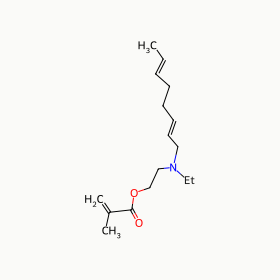 C=C(C)C(=O)OCCN(CC)C/C=C/CC/C=C/C